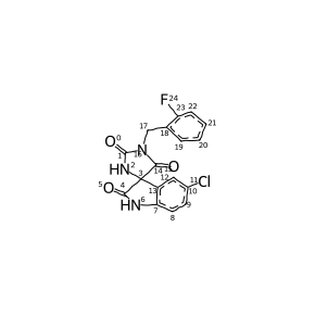 O=C1NC2(C(=O)Nc3ccc(Cl)cc32)C(=O)N1Cc1ccccc1F